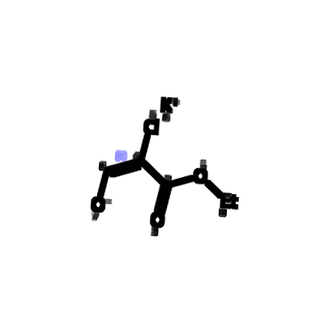 CCOC(=O)/C(Cl)=C\[O-].[K+]